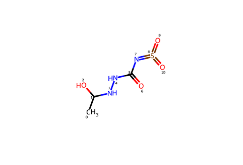 CC(O)NNC(=O)N=S(=O)=O